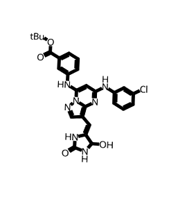 CC(C)(C)OC(=O)c1cccc(Nc2cc(Nc3cccc(Cl)c3)nc3c(/C=C4\NC(=O)NC4O)cnn23)c1